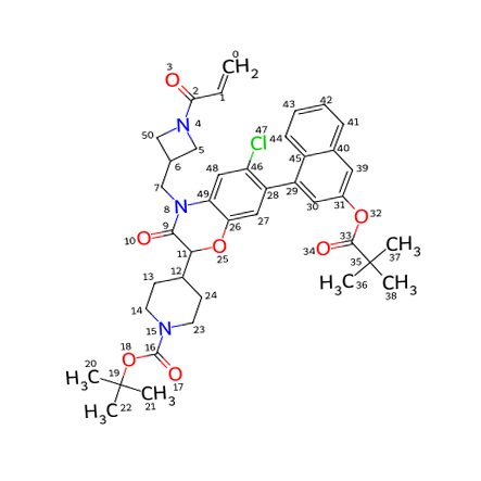 C=CC(=O)N1CC(CN2C(=O)C(C3CCN(C(=O)OC(C)(C)C)CC3)Oc3cc(-c4cc(OC(=O)C(C)(C)C)cc5ccccc45)c(Cl)cc32)C1